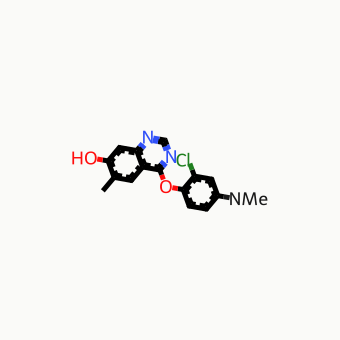 CNc1ccc(Oc2ncnc3cc(O)c(C)cc23)c(Cl)c1